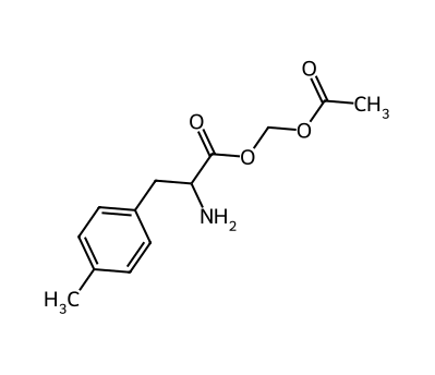 CC(=O)OCOC(=O)C(N)Cc1ccc(C)cc1